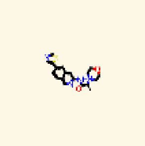 C[C@@H](C(=O)Nc1cc2cc(-c3cncs3)ccc2cn1)N1CCOCC1